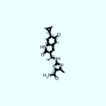 Cc1nc(N[C@@H](C)c2cc3cc(Cl)c(C4CC4)cc3[nH]c2=O)sc1C(N)=O